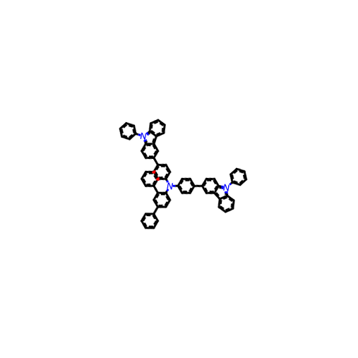 c1ccc(-c2ccc(N(c3ccc(-c4ccc5c(c4)c4ccccc4n5-c4ccccc4)cc3)c3ccc(-c4ccc5c(c4)c4ccccc4n5-c4ccccc4)cc3)c(-c3ccccc3)c2)cc1